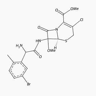 COC(=O)C1=C(Cl)CS[C@@H]2N1C(=O)C2(NC(=O)C(N)c1cc(Br)ccc1C)OC